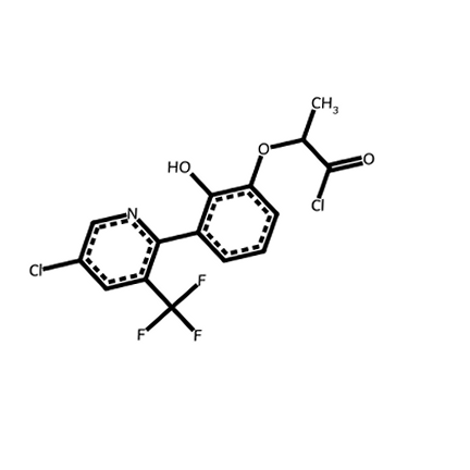 CC(Oc1cccc(-c2ncc(Cl)cc2C(F)(F)F)c1O)C(=O)Cl